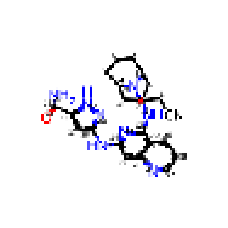 N#CCCN1C2CCCC1CC(Nc1nc(Nc3cc(C(N)=O)[nH]n3)cc3ncccc13)C2